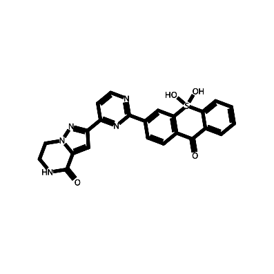 O=C1c2ccccc2S(O)(O)c2cc(-c3nccc(-c4cc5n(n4)CCNC5=O)n3)ccc21